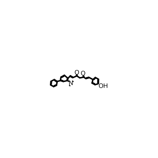 CN(C)c1cc(-c2ccccc2)ccc1C=CC(=O)CC(=O)C=Cc1ccc(O)cc1